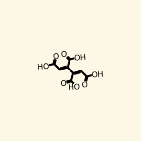 O=C(O)C=C(C(=O)O)C(=CC(=O)O)C(=O)O